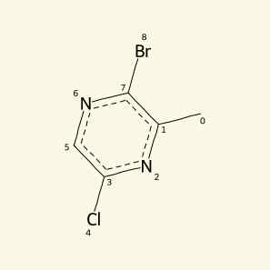 Cc1nc(Cl)cnc1Br